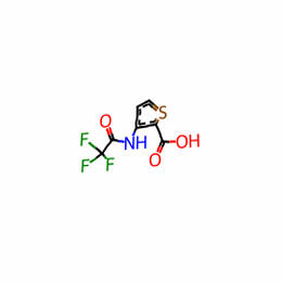 O=C(O)c1sccc1NC(=O)C(F)(F)F